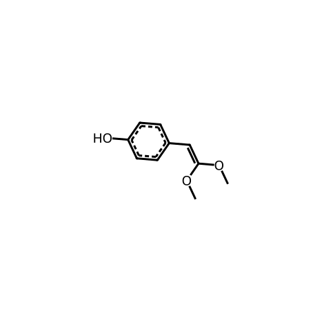 COC(=Cc1ccc(O)cc1)OC